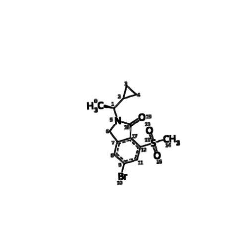 C[C@@H](C1CC1)N1Cc2cc(Br)cc(S(C)(=O)=O)c2C1=O